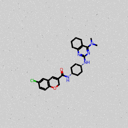 CN(C)c1nc(N[C@H]2CC[C@@H](NC(=O)C3=Cc4cc(Cl)ccc4OC3)CC2)nc2c1CCCC2